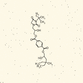 CCC(C)(CC)CC(O)COC(=O)c1ccc(C(=O)OCC(O)CN2CC(=O)N(C(C)(C)C)C2=O)cc1